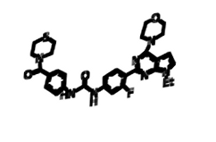 CCn1ccc2c(N3CCOCC3)nc(-c3ccc(NC(=O)Nc4ccc(C(=O)N5CCSCC5)cc4)cc3F)nc21